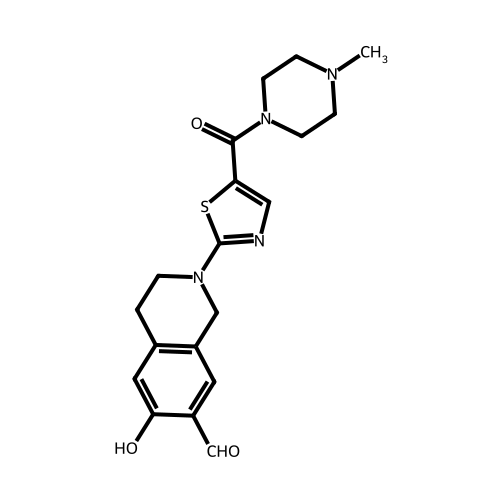 CN1CCN(C(=O)c2cnc(N3CCc4cc(O)c(C=O)cc4C3)s2)CC1